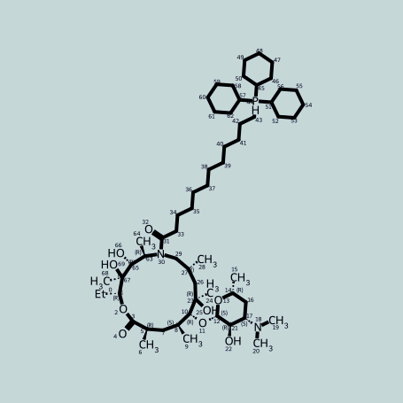 CC[C@H]1OC(=O)[C@H](C)C[C@H](C)[C@@H](O[C@@H]2O[C@H](C)C[C@H](N(C)C)[C@H]2O)[C@](C)(O)C[C@@H](C)CN(C(=O)CCCCCCCCCCC[PH](C2CCCCC2)(C2CCCCC2)C2CCCCC2)[C@H](C)[C@@H](O)[C@]1(C)O